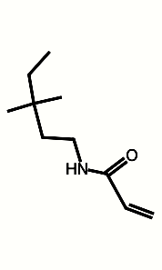 C=CC(=O)NCCC(C)(C)CC